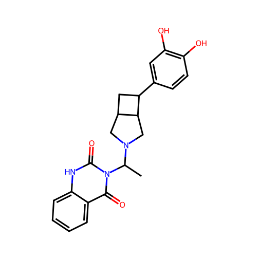 CC(N1CC2CC(c3ccc(O)c(O)c3)C2C1)n1c(=O)[nH]c2ccccc2c1=O